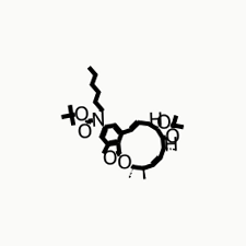 CCCCCCN(C(=O)OC(C)(C)C)c1cc(C)c2c(c1)/C=C/C[C@@H]1OC(C)(C)O[C@@H]1[C@H](C)/C=C\[C@@H](C)[C@H](C)OC2=O